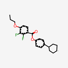 CCCOc1ccc(C(=O)Oc2ccc(C3CC[CH]CC3)cc2)c(F)c1F